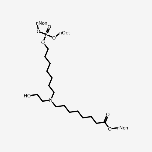 CCCCCCCCCOC(=O)CCCCCCCN(CCO)CCCCCCCOP(=O)(OCCCCCCCC)OCCCCCCCCC